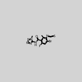 Cc1c(N=C=S)c(Br)cc(F)c1C(=O)Nc1nnnn1C